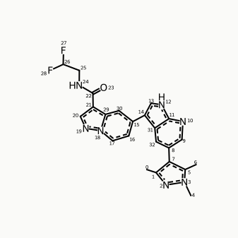 Cc1nn(C)c(C)c1-c1cnc2[nH]cc(-c3ccn4ncc(C(=O)NCC(F)F)c4c3)c2c1